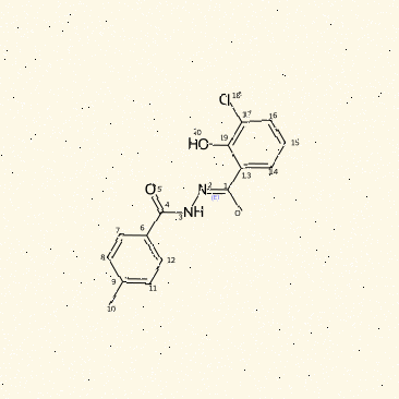 C/C(=N\NC(=O)c1ccc(C)cc1)c1cccc(Cl)c1O